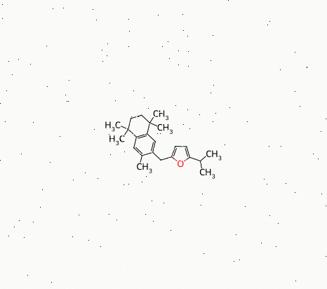 Cc1cc2c(cc1Cc1ccc(C(C)C)o1)C(C)(C)CCC2(C)C